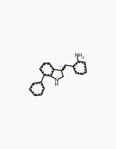 Nc1ccccc1/C=C1\CNc2c1cccc2-c1ccccc1